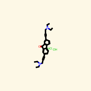 CCN(CC)CC#Cc1ccc2c(c1)C(=O)c1cc(C#CCN(CC)CC)ccc1-2.Cl.Cl